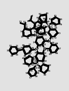 CC(C)c1cccc2c1c1c(C(C)C)cccc1n2-c1cc2c3c(c1)N(c1ccc(-c4ccccc4)cc1)c1cc([Si](c4ccccc4)(c4ccccc4)c4ccccc4)ccc1B3c1ccccc1N2c1cccc([Si](c2ccccc2)(c2ccccc2)c2ccccc2)c1